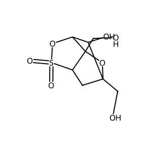 O=S1(=O)OC2C(O)C3(CO)CC1C2(CO)O3